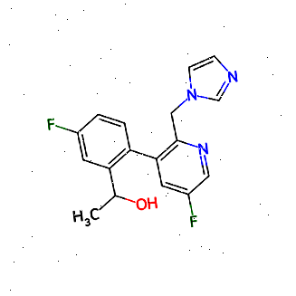 CC(O)c1cc(F)ccc1-c1cc(F)cnc1Cn1ccnc1